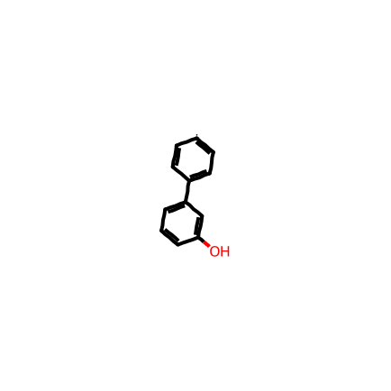 Oc1cccc(-c2cc[c]cc2)c1